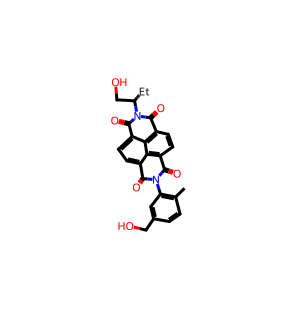 CCC(CO)N1C(=O)c2ccc3c4c(ccc(c24)C1=O)C(=O)N(c1cc(CO)ccc1C)C3=O